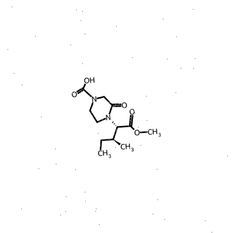 CC[C@H](C)[C@@H](C(=O)OC)N1CCN(C(=O)O)CC1=O